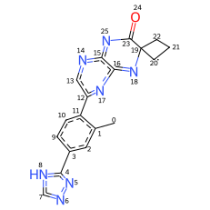 Cc1cc(-c2nnc[nH]2)ccc1-c1cnc2c(n1)=NC1([CH]CC1)C(=O)N=2